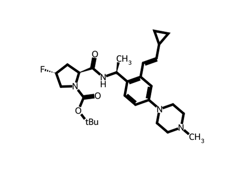 C[C@H](NC(=O)[C@@H]1C[C@@H](F)CN1C(=O)OC(C)(C)C)c1ccc(N2CCN(C)CC2)cc1/C=C/C1CC1